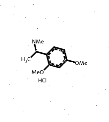 CNC(C)c1ccc(OC)cc1OC.Cl